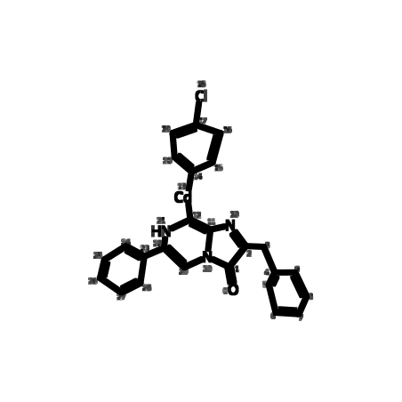 O=c1c(Cc2ccccc2)nc2[c]([Cd][c]3ccc(Cl)cc3)[nH]c(-c3ccccc3)cn1-2